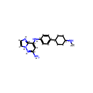 CCNC1CCC(c2ccc(Nc3cc(N)nn4ccnc34)cc2)CC1